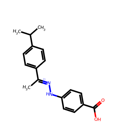 C/C(=N\Nc1ccc(C(=O)O)cc1)c1ccc(C(C)C)cc1